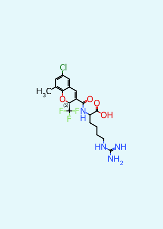 Cc1cc(Cl)cc2c1O[C@H](C(F)(F)F)C(C(=O)NC(CCCCNC(=N)N)C(=O)O)=C2